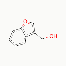 OCc1coc2cc[c]cc12